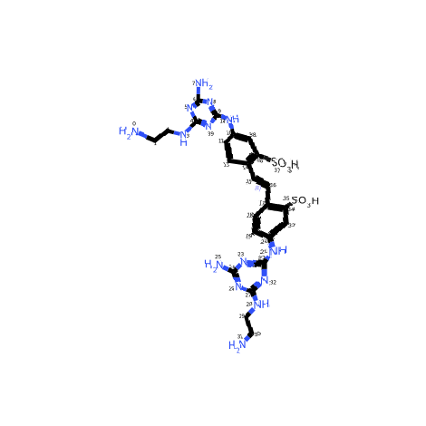 NCCNc1nc(N)nc(Nc2ccc(/C=C/c3ccc(Nc4nc(N)nc(NCCN)n4)cc3S(=O)(=O)O)c(S(=O)(=O)O)c2)n1